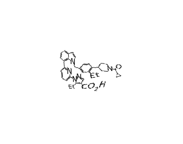 CCc1cc(Cn2ccc3cccc(-c4cccc(-n5ncc(C(=O)O)c5CC)n4)c32)ccc1C1CCN(C(=O)C2CC2)CC1